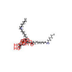 CCCCCC/C=C\CCCCCCCCCC(=O)OC[C@H](COP(=O)(O)OC[C@@H](O)CO)OC(=O)CCCCCCC/C=C\CCCCCC